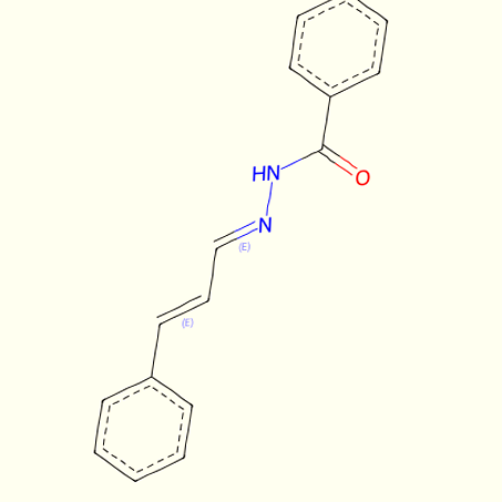 O=C(N/N=C/C=C/c1ccccc1)c1ccccc1